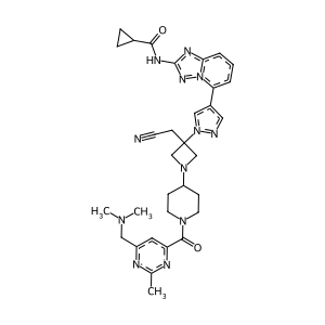 Cc1nc(CN(C)C)cc(C(=O)N2CCC(N3CC(CC#N)(n4cc(-c5cccc6nc(NC(=O)C7CC7)nn56)cn4)C3)CC2)n1